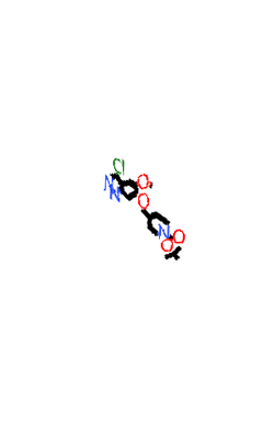 COc1cc2c(Cl)cnnc2cc1OCC1CCN(C(=O)OC(C)(C)C)CC1